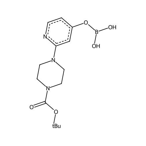 CC(C)(C)OC(=O)N1CCN(c2cc(OB(O)O)ccn2)CC1